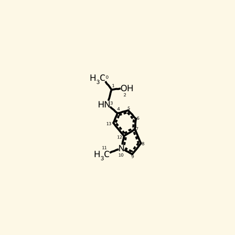 CC(O)Nc1ccc2ccn(C)c2c1